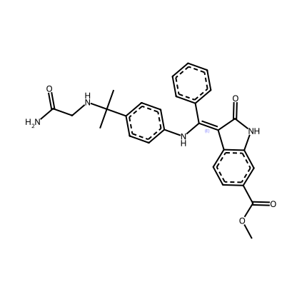 COC(=O)c1ccc2c(c1)NC(=O)/C2=C(/Nc1ccc(C(C)(C)NCC(N)=O)cc1)c1ccccc1